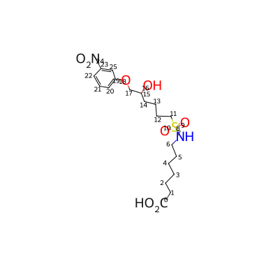 O=C(O)CCCCCCNS(=O)(=O)CCCCC(O)COc1cccc([N+](=O)[O-])c1